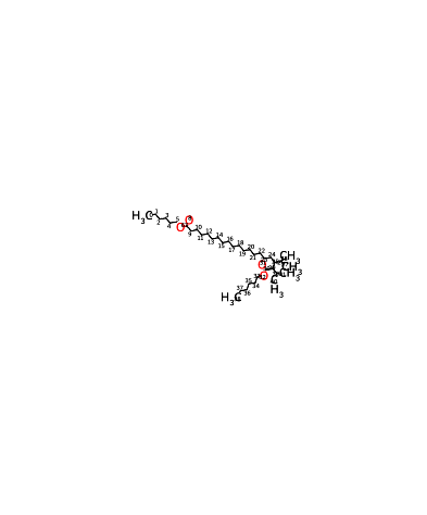 CCCCCCOC(=O)CCCCCCCCCCCCCCCCC(C(C)C)C(C(=O)OCCCCCC)C(C)C